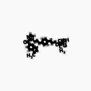 Cn1ccc2cc(C(=O)c3nccn3CCCc3ccc(/C=C/COC(C)(C)C(=O)O)cc3)ccc21